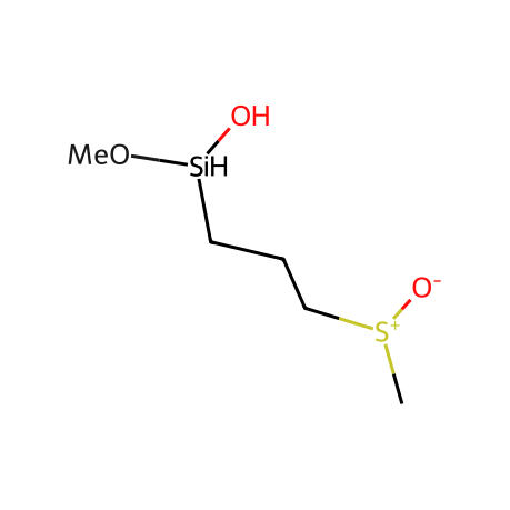 CO[SiH](O)CCC[S+](C)[O-]